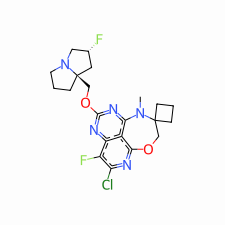 CN1c2nc(OC[C@@]34CCCN3C[C@H](F)C4)nc3c(F)c(Cl)nc(c23)OCC12CCC2